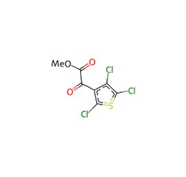 COC(=O)C(=O)c1c(Cl)sc(Cl)c1Cl